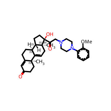 COc1ccccc1N1CCN(CC(=O)[C@@]2(O)CC[C@H]3[C@@H]4CCC5=CC(=O)CC[C@]5(C)C4=CC[C@@]32C)CC1